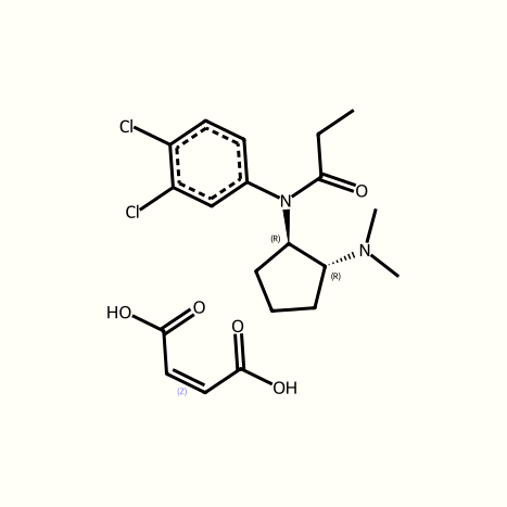 CCC(=O)N(c1ccc(Cl)c(Cl)c1)[C@@H]1CCC[C@H]1N(C)C.O=C(O)/C=C\C(=O)O